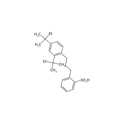 CCC(C)(C)c1ccc(CCCc2ccccc2S(=O)(=O)O)c(C(C)(C)CC)c1